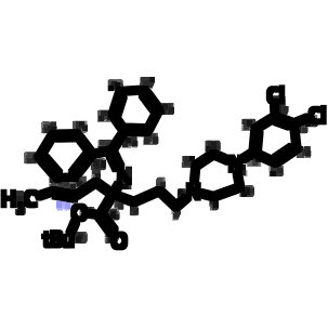 C/C=C/CC(CCCN1CCN(c2ccc(Cl)c(Cl)c2)CC1)(N=C(c1ccccc1)c1ccccc1)C(=O)OC(C)(C)C